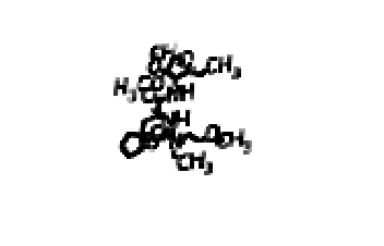 CC[C@@H]1OCC(OC)(OC)C1NC(=O)[C@H](CC1(C)CCCC1)NC(=O)N(CC)CCOC